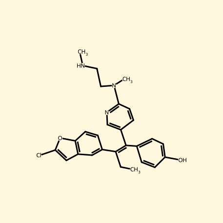 CCC(=C(c1ccc(O)cc1)c1ccc(N(C)CCNC)nc1)c1ccc2oc(Cl)cc2c1